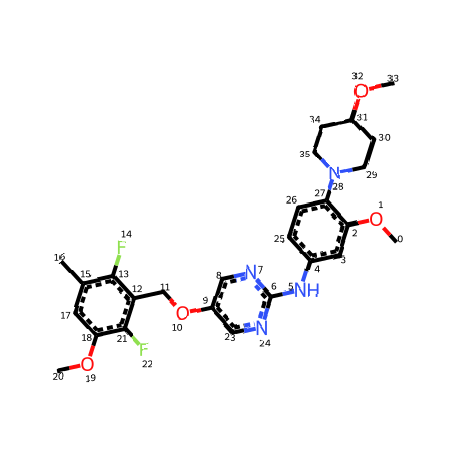 COc1cc(Nc2ncc(OCc3c(F)c(C)cc(OC)c3F)cn2)ccc1N1CCC(OC)CC1